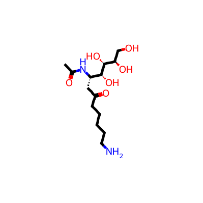 CC(=O)N[C@@H](CC(=O)CCCCCN)[C@@H](O)[C@H](O)[C@H](O)CO